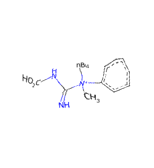 CCCC[N+](C)(C(=N)NC(=O)O)c1ccccc1